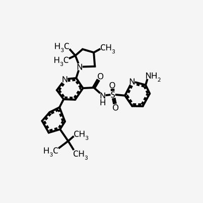 CC1CN(c2ncc(-c3cccc(C(C)(C)C)c3)cc2C(=O)NS(=O)(=O)c2cccc(N)n2)C(C)(C)C1